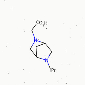 CC(C)N1CC2CC1CN2CC(=O)O